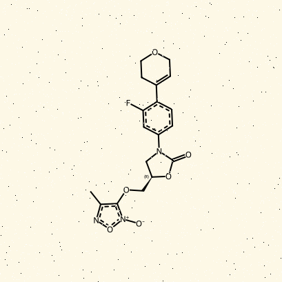 Cc1no[n+]([O-])c1OC[C@H]1CN(c2ccc(C3=CCOCC3)c(F)c2)C(=O)O1